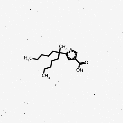 CCCCCC(C)(CCCCC)c1cc(C(=O)O)cs1